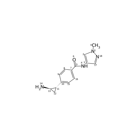 Cn1cc(NC(=O)c2ccc([C@@H]3C[C@H]3N)cc2)cn1